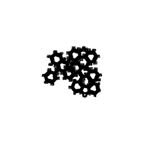 C1=c2oc3ccccc3c2=C(c2c3ccccc3c(-c3cccc4sc5ccc(-c6c7ccccc7c(-c7ccccc7)c7ccccc67)cc5c34)c3ccccc23)CC1